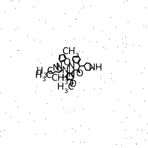 COc1cccc(CC(=O)C(c2ccccc2NC(=O)Nc2cc(C(C)(C)C)nn2-c2ccc(C)cc2)C2CCNCC2)c1